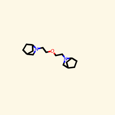 C(CN1CC2CCC1C2)OCCN1CC2CCC1C2